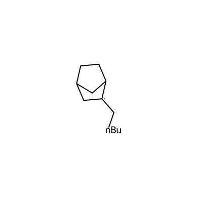 CCCCC[C]1CC2CCC1C2